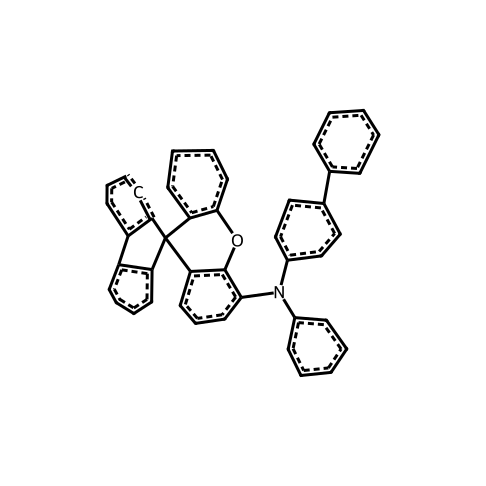 c1ccc(-c2ccc(N(c3ccccc3)c3cccc4c3Oc3ccccc3C43c4ccccc4-c4ccccc43)cc2)cc1